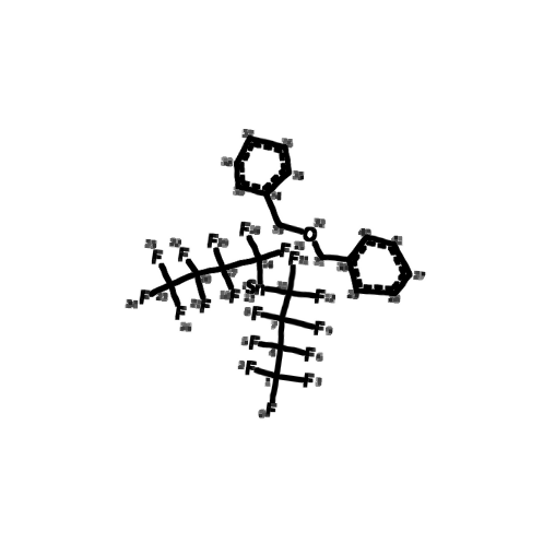 FC(F)(F)C(F)(F)C(F)(F)[C](F)(F)[Sn][C](F)(F)C(F)(F)C(F)(F)C(F)(F)F.c1ccc(COCc2ccccc2)cc1